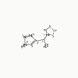 CC[C](c1c[nH]nn1)N1CCCC1